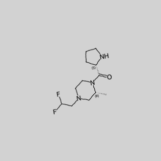 C[C@@H]1CN(CC(F)F)CCN1C(=O)[C@@H]1CCCN1